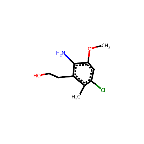 COc1cc(Cl)c(C)c(CCO)c1N